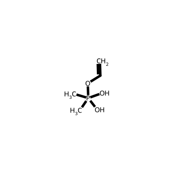 C=COP(C)(C)(O)O